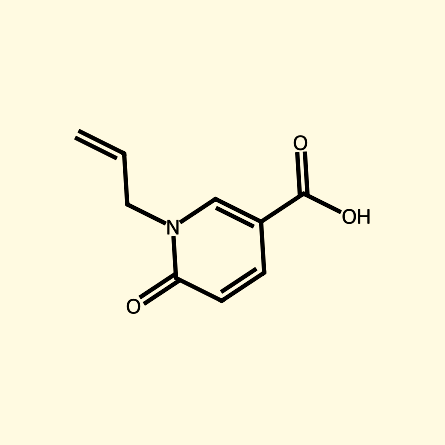 C=CCn1cc(C(=O)O)ccc1=O